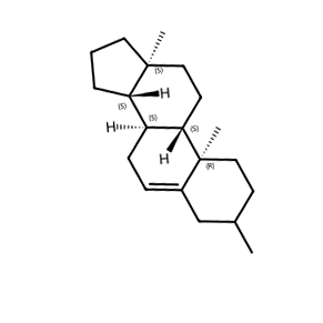 CC1CC[C@@]2(C)C(=CC[C@H]3[C@@H]4CCC[C@@]4(C)CC[C@@H]32)C1